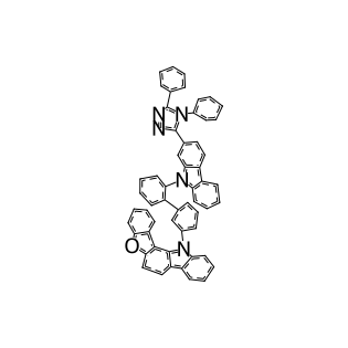 c1ccc(-c2nnc(-c3ccc4c5ccccc5n(-c5ccccc5-c5cccc(-n6c7ccccc7c7ccc8oc9ccccc9c8c76)c5)c4c3)n2-c2ccccc2)cc1